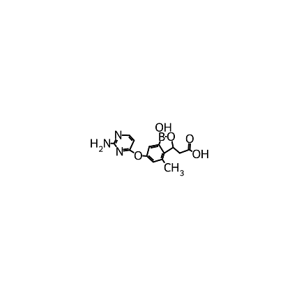 Cc1cc(Oc2ccnc(N)n2)cc2c1C(CC(=O)O)OB2O